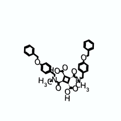 CN(Cc1ccc(OCc2ccccc2)cc1)C(=O)[C@H]1[C@H](C(=O)O)[C@H](C(=O)N(C)Cc2ccc(OCc3ccccc3)cc2)[C@H]1C(=O)O